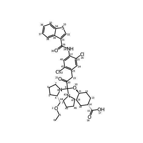 CCOC[C@@H]1CCCN1C(O[C@H]1CC[C@H](C(=O)O)CC1)(C(=O)Cc1cc(Cl)c(NC(=O)c2csc3ccccc23)cc1Cl)N1CCCC1